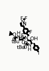 CC(C)(C)OC(=O)N[C@@H](Cc1ccc(I)cc1)[C@@H](O)CN(Cc1c(F)cc(-c2ccn(C(F)F)n2)cc1F)NC(=O)[C@@H](NC(=O)OC1CC1)C(C)(C)C